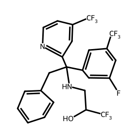 OC(CNC(Cc1ccccc1)(c1cc(F)cc(C(F)(F)F)c1)c1cc(C(F)(F)F)ccn1)C(F)(F)F